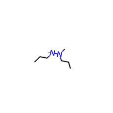 CCC[N]N(C)CCC